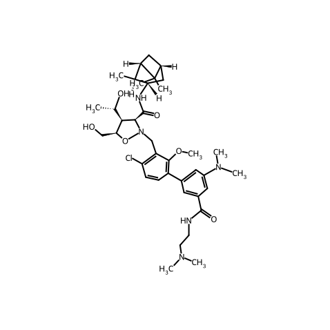 COc1c(-c2cc(C(=O)NCCN(C)C)cc(N(C)C)c2)ccc(Cl)c1CN1O[C@@H](CO)[C@@H]([C@H](C)O)[C@H]1C(=O)N[C@H]1C[C@H]2C[C@@H]([C@@H]1C)C2(C)C